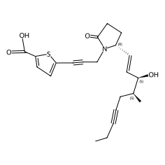 CCC#CC[C@H](C)[C@H](O)C=C[C@H]1CCC(=O)N1CC#Cc1ccc(C(=O)O)s1